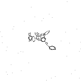 CCOC(=O)C1(Cc2c(Cl)cc(OCc3ccccc3)cc2Cl)CCN(C2CCc3nc[nH]c3C2)C1=O